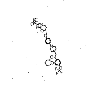 O=[N+]([O-])c1cn2c(n1)O[C@@H](COc1ccc(N3CCC(CC(OC4CCCCO4)c4ccc(OC(F)(F)F)cc4)CC3)cc1)CC2